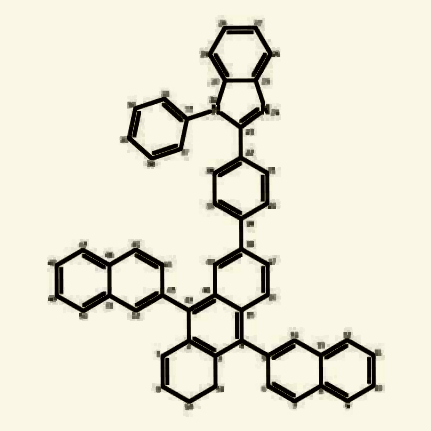 C1=Cc2c(c(-c3ccc4ccccc4c3)c3ccc(-c4ccc(-c5nc6ccccc6n5-c5ccccc5)cc4)cc3c2-c2ccc3ccccc3c2)CC1